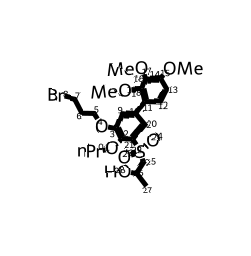 CCCOc1c(OCCCBr)cc(-c2ccc(OC)c(OC)c2OC)cc1S(=O)(=O)CC(C)O